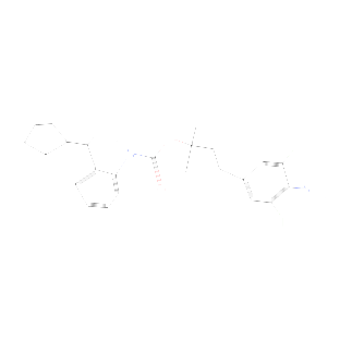 CC(C)(CCc1cc(F)c(N)c(F)c1)OC(=O)Nc1ccccc1C(C(=O)O)C1CCCC1